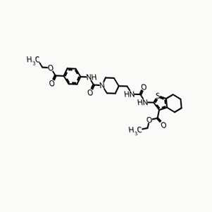 CCOC(=O)c1ccc(NC(=O)N2CCC(CNC(=O)Nc3sc4c(c3C(=O)OCC)CCCC4)CC2)cc1